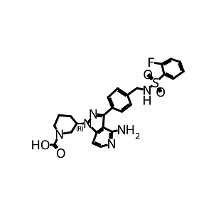 Nc1nccc2c1c(-c1ccc(CNS(=O)(=O)c3ccccc3F)cc1)nn2[C@@H]1CCCN(C(=O)O)C1